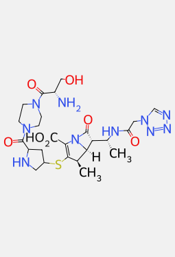 C[C@@H](NC(=O)Cn1cnnn1)[C@H]1C(=O)N2C(C(=O)O)=C(SC3CNC(C(=O)N4CCN(C(=O)[C@@H](N)CO)CC4)C3)[C@H](C)[C@H]12